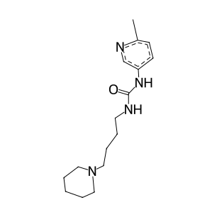 Cc1ccc(NC(=O)NCCCCN2CCCCC2)cn1